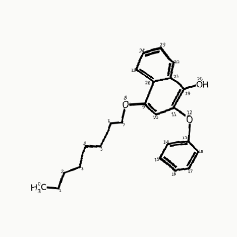 CCCCCCCCOc1cc(Oc2ccccc2)c(O)c2ccccc12